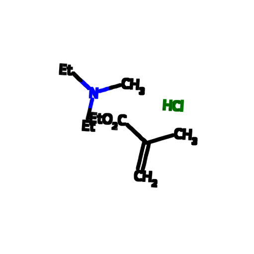 C=C(C)C(=O)OCC.CCN(C)CC.Cl